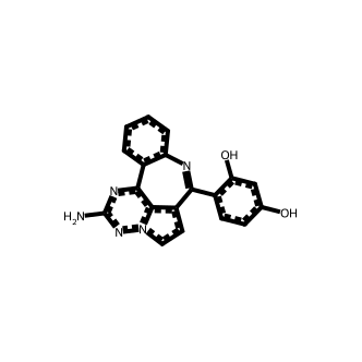 Nc1nc2c3c(ccn3n1)C(c1ccc(O)cc1O)=Nc1ccccc1-2